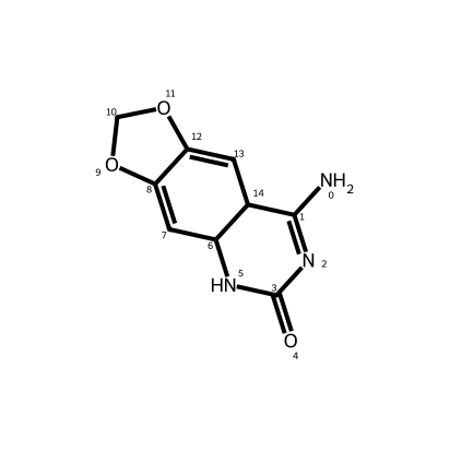 NC1=NC(=O)NC2C=C3OCOC3=CC12